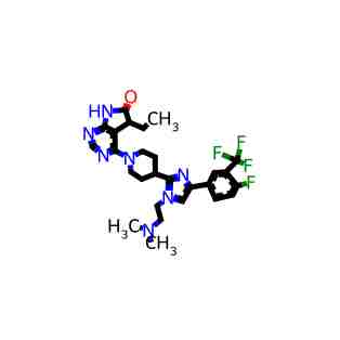 CCC1C(=O)Nc2ncnc(N3CCC(c4nc(-c5ccc(F)c(C(F)(F)F)c5)cn4CCN(C)C)CC3)c21